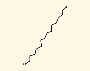 ClCCCCCCCCCCCCCCI